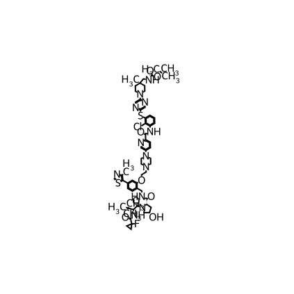 Cc1ncsc1-c1ccc(CNC(=O)[C@@H]2C[C@@H](O)CN2C(=O)[C@@H](NC(=O)C2(F)CC2)C(C)(C)C)c(OCCN2CCN(c3ccc(C(=O)Nc4cccc(Sc5cnc(N6CCC(C)(CNC(=O)OC(C)(C)C)CC6)cn5)c4Cl)nc3)CC2)c1